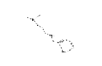 CN(C)CCCNCc1ccccc1